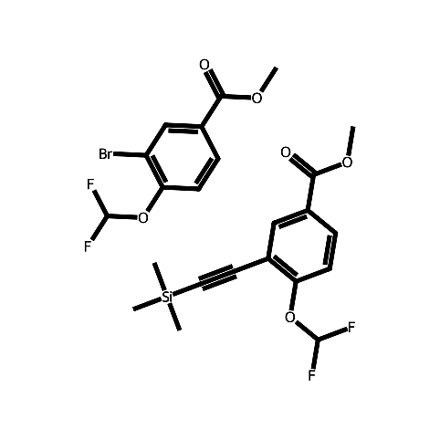 COC(=O)c1ccc(OC(F)F)c(Br)c1.COC(=O)c1ccc(OC(F)F)c(C#C[Si](C)(C)C)c1